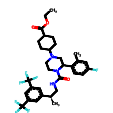 CCOC(=O)C1CCC(N2CCN(C(=O)NC[C@H](C)c3cc(C(F)(F)F)cc(C(F)(F)F)c3)C(c3ccc(F)cc3C)C2)CC1